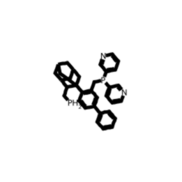 PCC1C2CC3CC(C2)CC1(c1ccc(-c2ccccc2)cc1CP(c1cccnc1)c1cccnc1)C3